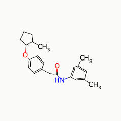 Cc1cc(C)cc(NC(=O)Cc2ccc(O[C]3CCCC3C)cc2)c1